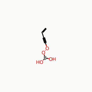 C=CC#COOB(O)O